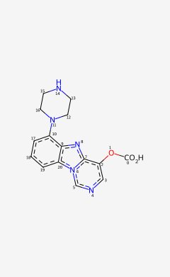 O=C(O)Oc1cncn2c1nc1c(N3CCNCC3)cccc12